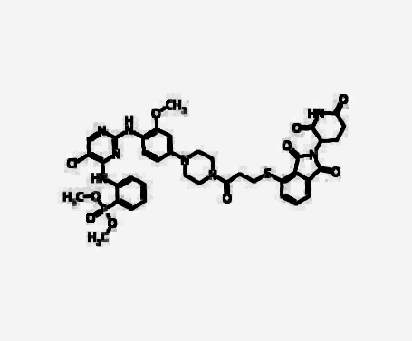 COc1cc(N2CCN(C(=O)CCSc3cccc4c3C(=O)N(C3CCC(=O)NC3=O)C4=O)CC2)ccc1Nc1ncc(Cl)c(Nc2ccccc2P(=O)(OC)OC)n1